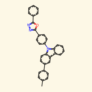 Cc1ccc(-c2ccc3c(c2)c2ccccc2n3-c2ccc(-c3nnc(-c4ccccc4)o3)cc2)cc1